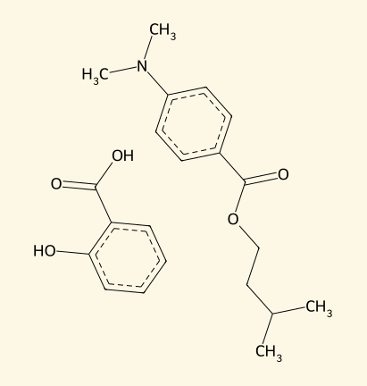 CC(C)CCOC(=O)c1ccc(N(C)C)cc1.O=C(O)c1ccccc1O